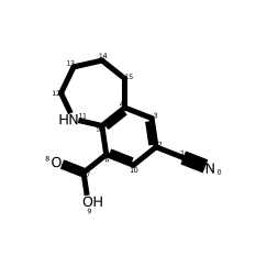 N#Cc1cc2c(c(C(=O)O)c1)NCCCC2